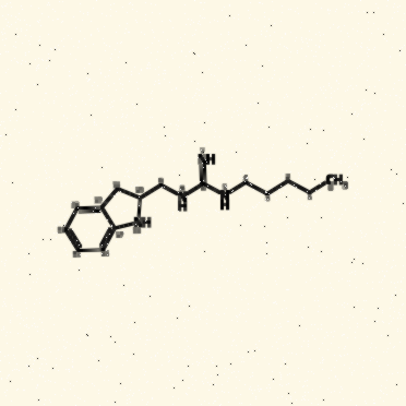 CCCCCNC(=N)NCC1Cc2ccccc2N1